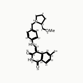 COC[C@@H]1CCCN1Cc1ccc(NC=C2C(=O)NC(=O)c3ccc(I)cc32)cc1